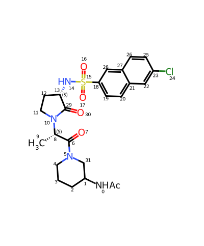 CC(=O)NC1CCCN(C(=O)[C@H](C)N2CC[C@H](NS(=O)(=O)c3ccc4cc(Cl)ccc4c3)C2=O)C1